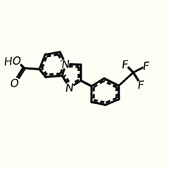 O=C(O)c1ccn2cc(-c3cccc(C(F)(F)F)c3)nc2c1